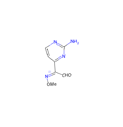 CO/N=C(\[C]=O)c1ccnc(N)n1